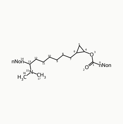 CCCCCCCCCC(=O)OC1CC1CCCCCCC(CCCCCCCCC)N(C)C